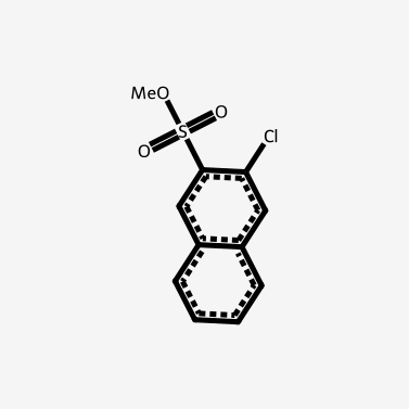 COS(=O)(=O)c1cc2ccccc2cc1Cl